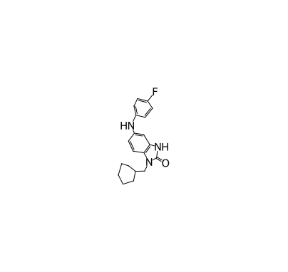 O=c1[nH]c2cc(Nc3ccc(F)cc3)ccc2n1CC1CCCCC1